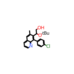 Cc1cc2cccnc2c(-c2ccc(Cl)cc2)c1C(CO)OC(C)(C)C